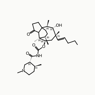 CCCC=C[C@]1(C)C[C@@H](OC(=O)NC(=O)[C@H]2CN(C)CC[C@@H]2C)[C@@]2(C)C3C(=O)CCC3(CC[C@H]2C)[C@@H](C)[C@@H]1O